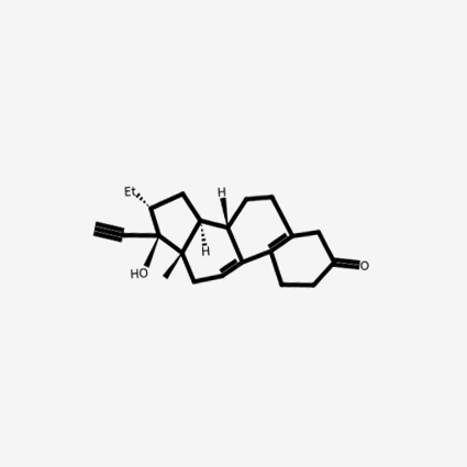 C#C[C@]1(O)[C@H](CC)C[C@H]2[C@@H]3CCC4=C(CCC(=O)C4)C3=CC[C@@]21C